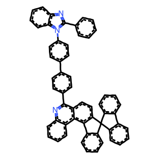 c1ccc(-c2nc3ccccc3n2-c2ccc(-c3ccc(-c4nc5ccccc5c5c6c(ccc45)C4(c5ccccc5-c5ccccc54)c4ccccc4-6)cc3)cc2)cc1